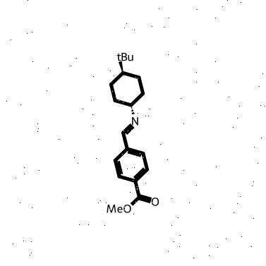 COC(=O)c1ccc(C=N[C@H]2CC[C@H](C(C)(C)C)CC2)cc1